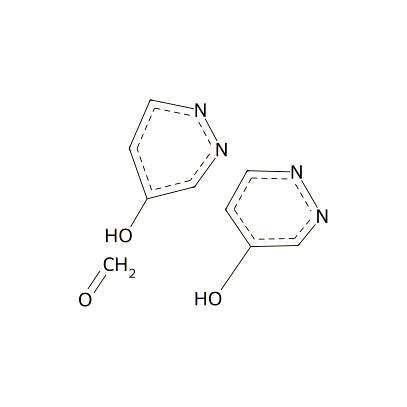 C=O.Oc1ccnnc1.Oc1ccnnc1